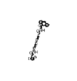 O=C(CCOCCOCCOCCOCCNC(=O)CCN1C(=O)C=CC1=O)NCCC(=O)C1Cc2ccccc2C#Cc2ccccc21